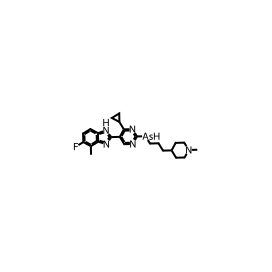 Cc1c(F)ccc2[nH]c(-c3cnc([AsH]CCCC4CCN(C)CC4)nc3C3CC3)nc12